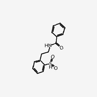 O=C(NCCc1ccccc1[SH](=O)=O)c1ccccc1